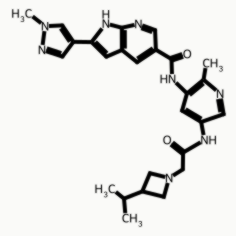 Cc1ncc(NC(=O)CN2CC(C(C)C)C2)cc1NC(=O)c1cnc2[nH]c(-c3cnn(C)c3)cc2c1